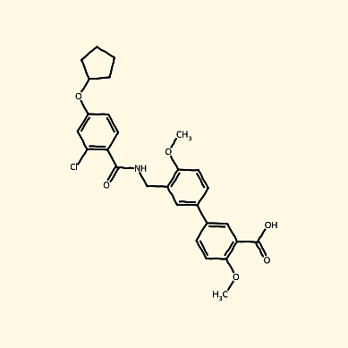 COc1ccc(-c2ccc(OC)c(C(=O)O)c2)cc1CNC(=O)c1ccc(OC2CCCC2)cc1Cl